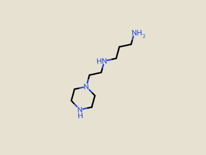 NCCCNCCN1CCNCC1